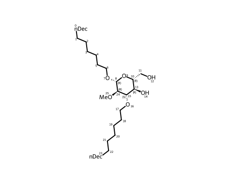 CCCCCCCCCCCCCCCCO[C@@H]1O[C@H](CO)[C@@H](O)[C@H](OCCCCCCCCCCCCCCCC)[C@H]1OC